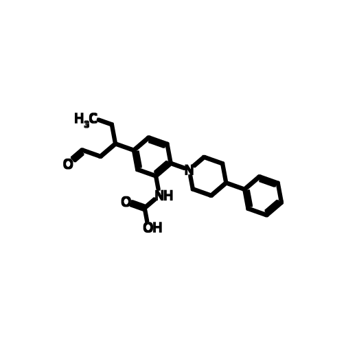 CCC(CC=O)c1ccc(N2CCC(c3ccccc3)CC2)c(NC(=O)O)c1